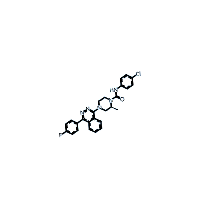 C[C@H]1CN(c2nnc(-c3ccc(F)cc3)c3ccccc23)CCN1C(=O)Nc1ccc(Cl)cc1